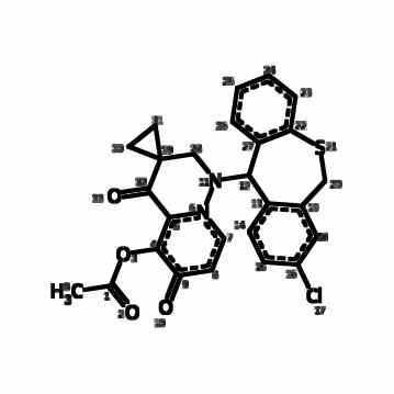 CC(=O)Oc1c2n(ccc1=O)N(C1c3ccc(Cl)cc3CSc3ccccc31)CC1(CC1)C2=O